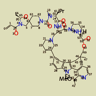 C=CC(=O)N1CC2(CCN(C(=O)N(C)[C@H](C(=O)N[C@H]3CN4CCC=C(C4)c4ccc5c(c4)c(c(-c4cccnc4[C@H](C)OC)n5CC)CC(C)(C)COC(=O)[C@@H]4CCCN(N4)C3=O)C(C)C)CC2)O[C@@H]1C